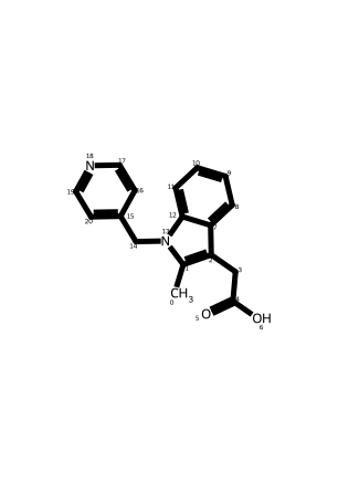 Cc1c(CC(=O)O)c2ccccc2n1Cc1ccncc1